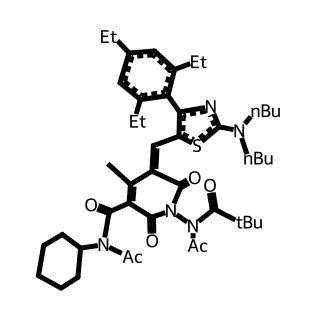 CCCCN(CCCC)c1nc(-c2c(CC)cc(CC)cc2CC)c(/C=C2\C(=O)N(N(C(C)=O)C(=O)C(C)(C)C)C(=O)C(C(=O)N(C(C)=O)C3CCCCC3)=C2C)s1